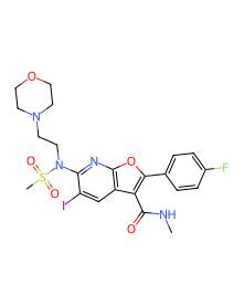 CNC(=O)c1c(-c2ccc(F)cc2)oc2nc(N(CCN3CCOCC3)S(C)(=O)=O)c(I)cc12